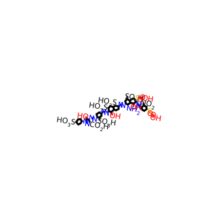 Nc1c(N=Nc2ccc3c(O)c(N=Nc4ccc(N=Nc5c(C(=O)O)nn(-c6ccc(S(=O)(=O)O)cc6)c5O)c(S(=O)(=O)O)c4)c(S(=O)(=O)O)cc3c2S(=O)(=O)O)cc(S(=O)(=O)O)c2cc(SOOO)c(N=Nc3ccc(SOOO)cc3[N+](=O)[O-])c(O)c12